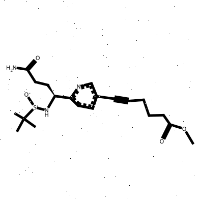 COC(=O)CCCC#Cc1ccc([C@H](CCC(N)=O)N[S+]([O-])C(C)(C)C)nc1